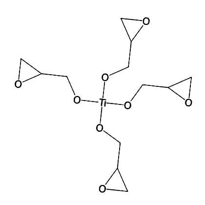 C1OC1C[O][Ti]([O]CC1CO1)([O]CC1CO1)[O]CC1CO1